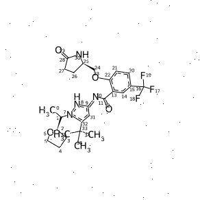 CC([C@H]1CCCO1)n1[nH]c(=NC(=O)c2cc(C(F)(F)F)ccc2OC[C@H]2CCC(=O)N2)cc1C(C)(C)C